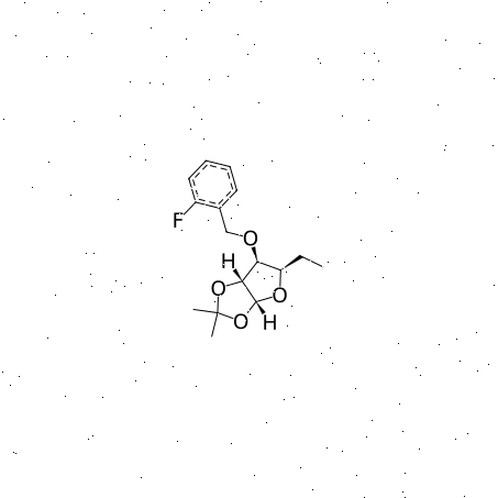 CC[C@H]1O[C@@H]2OC(C)(C)O[C@@H]2[C@H]1OCc1ccccc1F